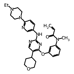 C=CC(=O)N(C)c1cccc(Oc2nc(Nc3ccc(N4CCN(CC)CC4)nc3)ncc2C2CCOCC2)c1